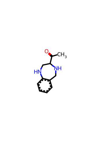 CC(=O)C1CNc2ccccc2CN1